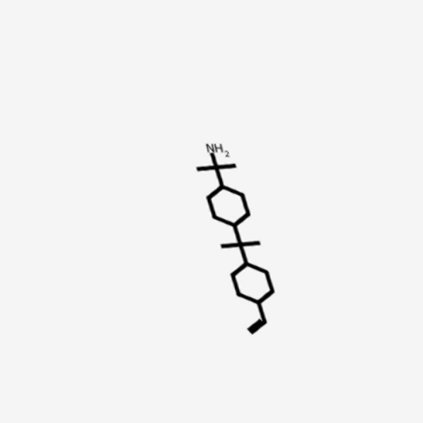 C=CC1CCC(C(C)(C)C2CCC(C(C)(C)N)CC2)CC1